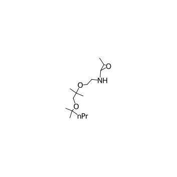 CCCC(C)(C)OCC(C)(C)OCCNC1OC1C